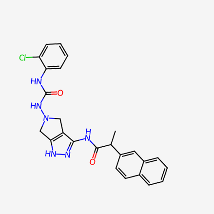 CC(C(=O)Nc1n[nH]c2c1CN(NC(=O)Nc1ccccc1Cl)C2)c1ccc2ccccc2c1